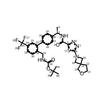 C[C@@H](NC(=O)c1nnc(N2CC3(CCOC3)C2)s1)c1ccc(-c2cc(C(F)(F)F)ccc2CNC(=O)OC(C)(C)C)cc1